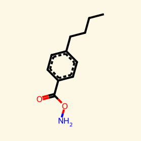 CCCCc1ccc(C(=O)ON)cc1